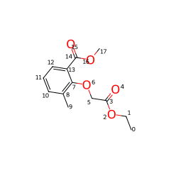 CCOC(=O)COc1c(C)cccc1C(=O)OC